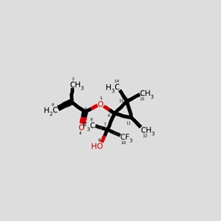 C=C(C)C(=O)OC1(C(O)(C(F)(F)F)C(F)(F)F)C(C)C1(C)C